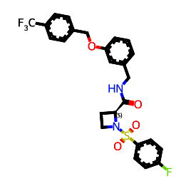 O=C(NCc1cccc(OCc2ccc(C(F)(F)F)cc2)c1)[C@@H]1CCN1S(=O)(=O)c1ccc(F)cc1